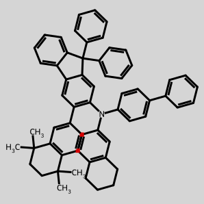 CC1(C)CCC(C)(C)c2cc(-c3cc4c(cc3N(c3ccc(-c5ccccc5)cc3)c3ccc5c(c3)CCCC5)C(c3ccccc3)(c3ccccc3)c3ccccc3-4)ccc21